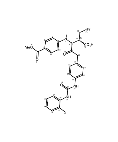 COC(=O)c1ccc(NN(C(=O)Cc2ccc(NC(=O)Nc3ccccc3C)cc2)[C@@H](CC(C)C)C(=O)O)cc1